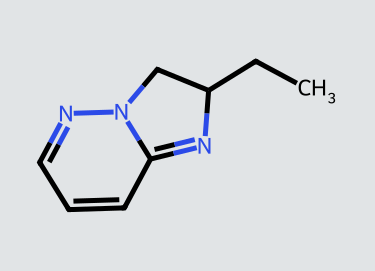 CCC1CN2N=CC=CC2=N1